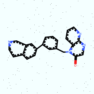 O=c1cnc2ncccc2n1Cc1cccc(-c2ccc3ccncc3c2)c1